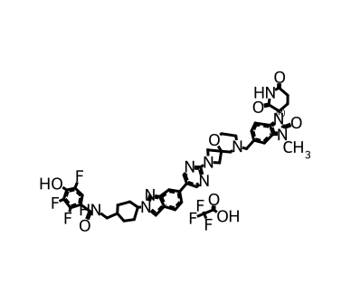 Cn1c(=O)n([C@@H]2CCC(=O)NC2=O)c2ccc(CN3CCOC4(C3)CN(c3ncc(-c5ccc6cn(C7CCC(CNC(=O)c8cc(F)c(O)c(F)c8F)CC7)nc6c5)cn3)C4)cc21.O=C(O)C(F)(F)F